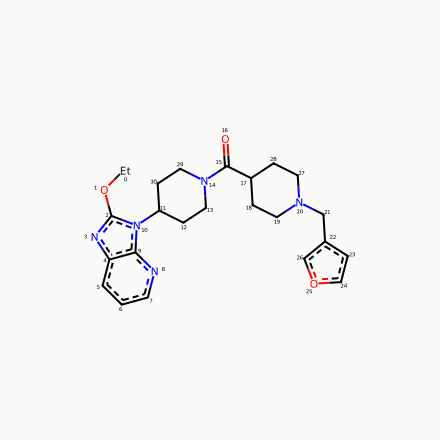 CCOc1nc2cccnc2n1C1CCN(C(=O)C2CCN(Cc3ccoc3)CC2)CC1